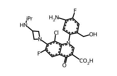 CC(C)NC1CN(c2c(F)cc3c(=O)c(C(=O)O)cn(-c4cc(N)c(F)cc4CO)c3c2Cl)C1